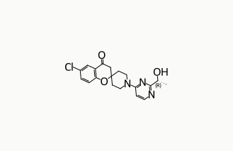 C[C@@H](O)c1nccc(N2CCC3(CC2)CC(=O)c2cc(Cl)ccc2O3)n1